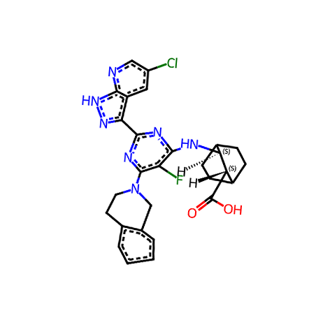 O=C(O)[C@H]1C2CCC(CC2)[C@@H]1Nc1nc(-c2n[nH]c3ncc(Cl)cc23)nc(N2CCc3ccccc3C2)c1F